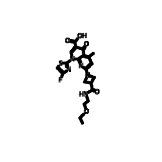 CCOCCNC(=O)C1CN(c2cc(C)c3c(=O)c(C(=O)O)cn(-c4nc(F)cs4)c3n2)C1